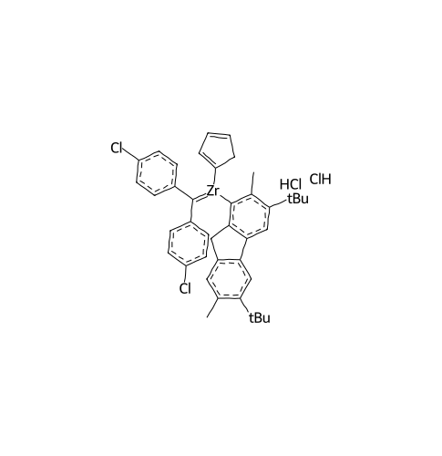 Cc1cc2c(cc1C(C)(C)C)-c1cc(C(C)(C)C)c(C)[c]([Zr]([C]3=CC=CC3)=[C](c3ccc(Cl)cc3)c3ccc(Cl)cc3)c1C2.Cl.Cl